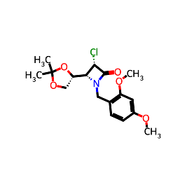 COc1ccc(CN2C(=O)[C@@H](Cl)[C@H]2[C@@H]2COC(C)(C)O2)c(OC)c1